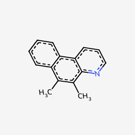 Cc1c(C)c2ncccc2c2ccccc12